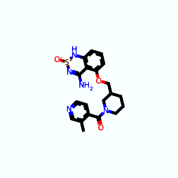 Cc1cnccc1C(=O)N1CCCC(COc2cccc3c2C(N)=N[S+]([O-])N3)C1